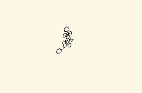 Cc1ccc(S(=O)(=O)OCC2(NC(=O)OCc3ccccc3)CC2)cc1